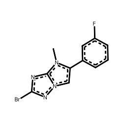 Cn1c(-c2cccc(F)c2)cn2nc(Br)nc12